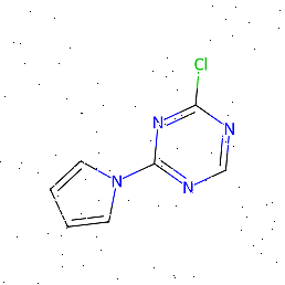 Clc1ncnc(-n2cccc2)n1